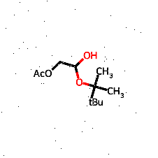 CC(=O)OCC(O)OC(C)(C)C(C)(C)C